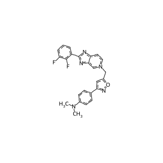 CN(C)c1ccc(-c2cc(Cn3ccc4nc(-c5cccc(F)c5F)nc-4c3)on2)cc1